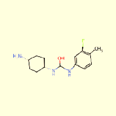 Cc1ccc(NC(O)N[C@H]2CC[C@@H](N)CC2)cc1F